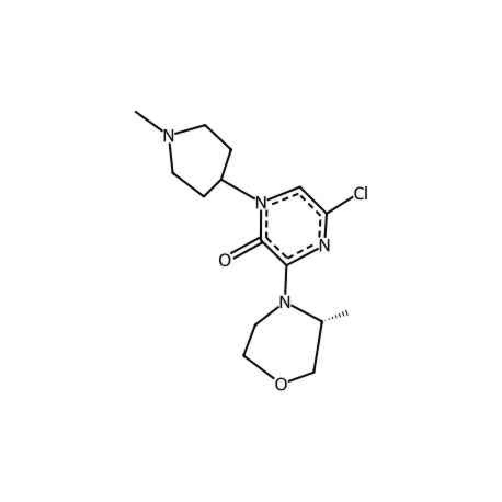 C[C@@H]1COCCN1c1nc(Cl)cn(C2CCN(C)CC2)c1=O